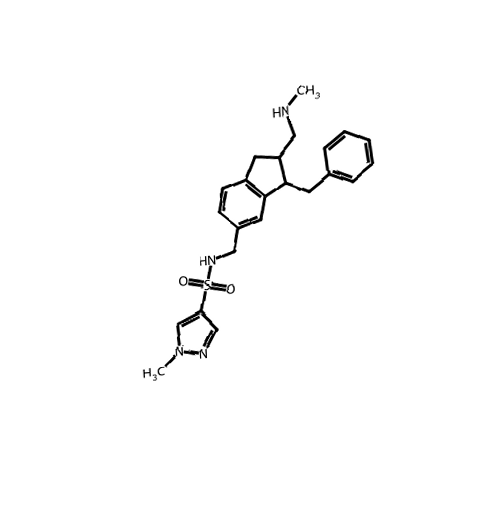 CNCC1Cc2ccc(CNS(=O)(=O)c3cnn(C)c3)cc2C1Cc1ccccc1